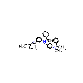 C=C(/C=C/c1cccc(N(Cc2ccc(N(C)C(=C)c3ccccc3)cc2)C(=C)C2CCCCC2)c1)CC